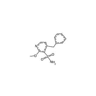 COc1nccc(Cc2ccccc2)c1S(N)(=O)=O